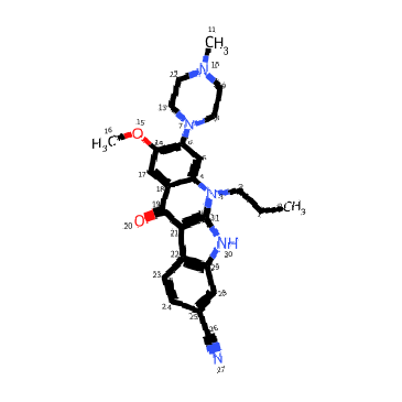 CCCn1c2cc(N3CCN(C)CC3)c(OC)cc2c(=O)c2c3ccc(C#N)cc3[nH]c21